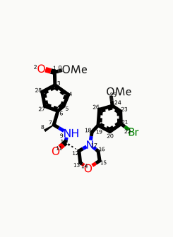 COC(=O)c1ccc([C@H](C)NC(=O)[C@H]2COCCN2Cc2cc(Br)cc(OC)c2)cc1